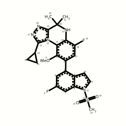 COc1c(-c2cc(F)cc3c2ccn3S(C)(=O)=O)cc(F)c2c1-n1c(C3CC3)nnc1C(C)(C)N2